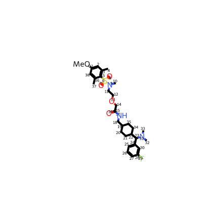 COc1cc(C)c(S(=O)(=O)N(C)CCOCC(=O)NCC2CCC(C(c3cccc(F)c3)N(C)C)CC2)c(C)c1